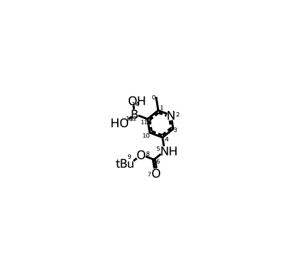 Cc1ncc(NC(=O)OC(C)(C)C)cc1B(O)O